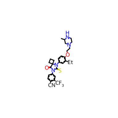 CCc1cc(N2C(=S)N(c3ccc(C#N)c(C(F)(F)F)c3)C(=O)C23CCC3)ccc1OCCN1CCNC(C)C1